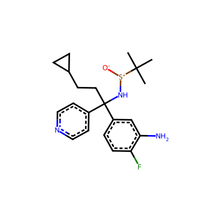 CC(C)(C)[S+]([O-])NC(CCC1CC1)(c1ccncc1)c1ccc(F)c(N)c1